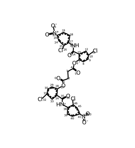 O=C(CCC(=O)Oc1ccc(Cl)cc1C(=O)Nc1ccc([N+](=O)[O-])cc1Cl)Oc1ccc(Cl)cc1C(=O)Nc1ccc([N+](=O)[O-])cc1Cl